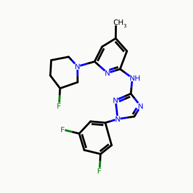 Cc1cc(Nc2ncn(-c3cc(F)cc(F)c3)n2)nc(N2CCCC(F)C2)c1